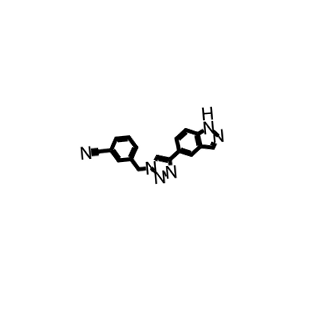 N#Cc1cccc(Cn2cc(-c3ccc4[nH]ncc4c3)nn2)c1